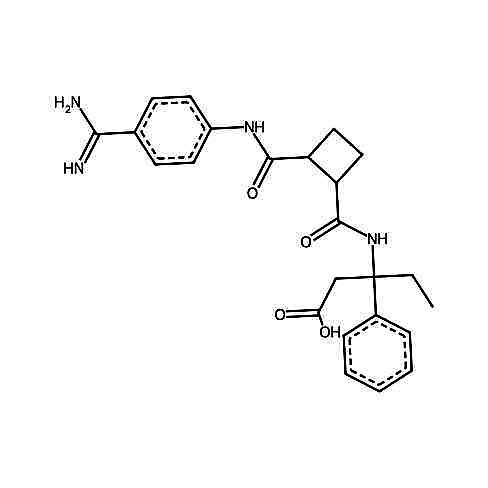 CCC(CC(=O)O)(NC(=O)C1CCC1C(=O)Nc1ccc(C(=N)N)cc1)c1ccccc1